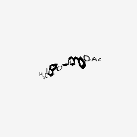 CC(=O)Oc1cccc(CC2CCN(CCOc3cccc4nc(C)ccc34)CC2)c1